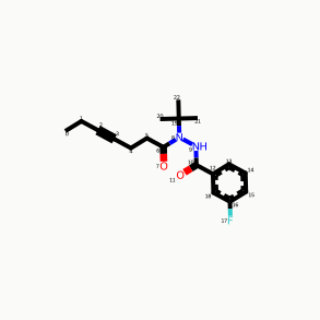 CCC#CCCC(=O)N(NC(=O)c1cccc(F)c1)C(C)(C)C